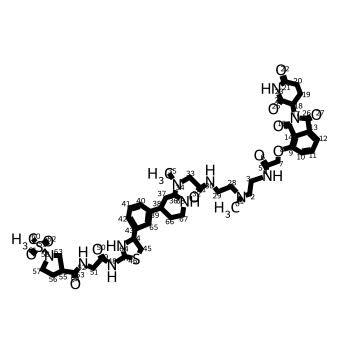 CN(CCNC(=O)COc1cccc2c1C(=O)N(C1CCC(=O)NC1=O)C2=O)CCNC(=O)CN(C)C1CC(c2cccc(C3CSC(NC(=O)CNC(=O)C4CCN(S(C)(=O)=O)C4)N3)c2)CCN1